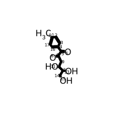 Cc1ccc(C(=O)C(=O)CC(O)C(O)CO)cc1